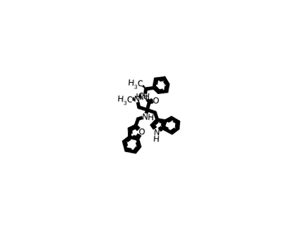 C[C@H](NC(=O)C(Cc1c[nH]c2ccccc12)(CN(C)C)NCc1cc2ccccc2o1)c1ccccc1